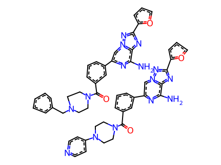 Nc1nc(-c2cccc(C(=O)N3CCN(Cc4ccccc4)CC3)c2)cn2nc(-c3ccco3)nc12.Nc1nc(-c2cccc(C(=O)N3CCN(c4ccncc4)CC3)c2)cn2nc(-c3ccco3)nc12